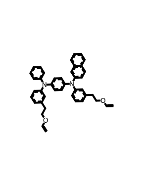 C=COCCc1cccc(N(c2ccccc2)c2ccc(N(c3cccc(CCOC=C)c3)c3ccc4ccccc4c3)cc2)c1